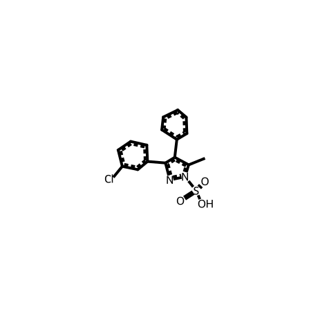 Cc1c(-c2ccccc2)c(-c2cccc(Cl)c2)nn1S(=O)(=O)O